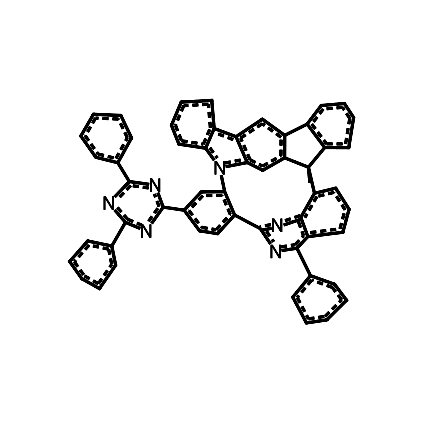 CC12c3ccccc3-c3cc4c5ccccc5n(c4cc31)-c1cc(-c3nc(-c4ccccc4)nc(-c4ccccc4)n3)ccc1-c1nc(-c3ccccc3)c3cccc2c3n1